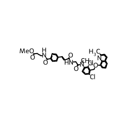 COC(=O)CCNC(=O)c1ccc(/C=C/C(=O)NCC(=O)N(C)c2ccc(Cl)c(COc3cccc4ccc(C)nc34)c2Cl)cc1